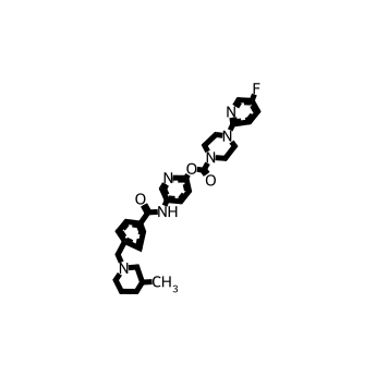 CC1CCCN(Cc2ccc(C(=O)Nc3ccc(OC(=O)N4CCN(c5ccc(F)cn5)CC4)nc3)cc2)C1